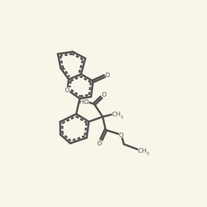 CCOC(=O)C(C)(C(=O)O)c1ccccc1-c1cc(=O)c2ccccc2o1